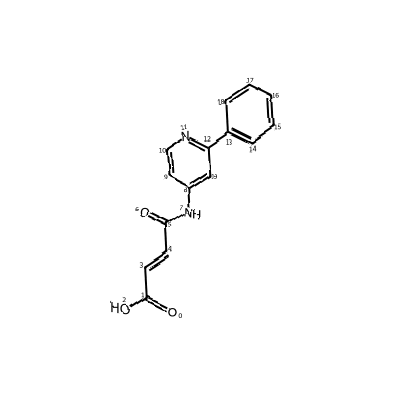 O=C(O)C=CC(=O)Nc1ccnc(-c2ccccc2)c1